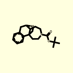 CC(C)(C)OC(=O)N1CCC2C3Cc4ccccc4C2(CCN3)CC1